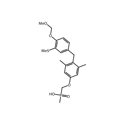 COCOc1ccc(Cc2c(C)cc(OCP(C)(=O)O)cc2C)cc1SC